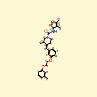 Cc1cccc(OCCOc2cccc(/C=C3\CCN(C(=O)Nc4noc(C)c4C)CC3C)c2)c1